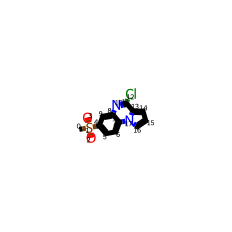 CS(=O)(=O)c1ccc2c(c1)nc(Cl)c1cccn12